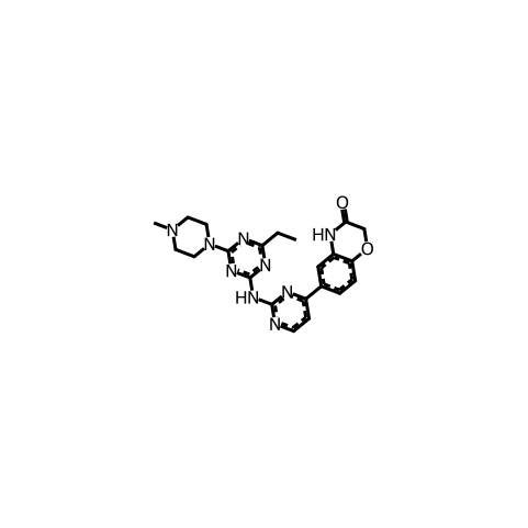 CCc1nc(Nc2nccc(-c3ccc4c(c3)NC(=O)CO4)n2)nc(N2CCN(C)CC2)n1